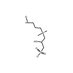 C[N+](C)(CCCNCl)CC(O)CS(=O)(=O)[O-]